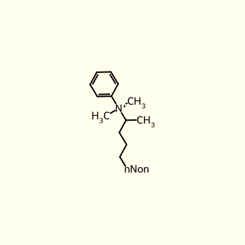 CCCCCCCCCCCCC(C)[N+](C)(C)c1ccccc1